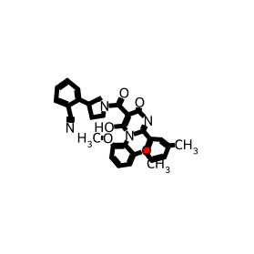 COc1cccc(OC)c1-n1c(-c2cccc(C)c2)nc(=O)c(C(=O)N2CCC(c3ccccc3C#N)C2)c1O